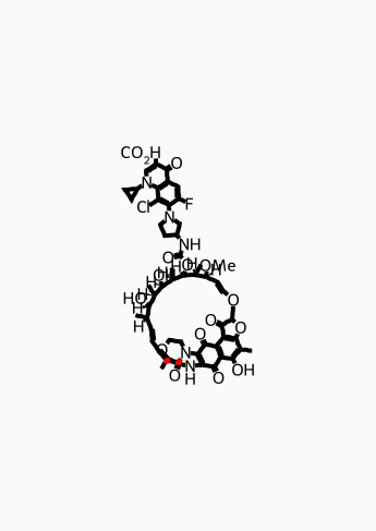 CO[C@H]1/C=C/O[C@@]2(C)Oc3c(C)c(O)c4c(c3C2=O)C(=O)C(N2CCOCC2)=C(NC(=O)/C(C)=C\C=C\[C@H](C)[C@H](O)[C@@H](C)[C@@H](O)[C@@H](C)[C@H](OC(=O)NC2CCN(c3c(F)cc5c(=O)c(C(=O)O)cn(C6CC6)c5c3Cl)C2)[C@@H]1C)C4=O